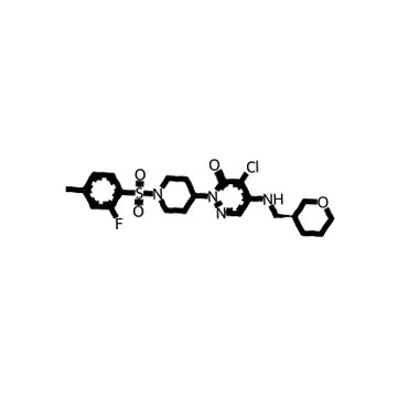 Cc1ccc(S(=O)(=O)N2CCC(n3ncc(NC[C@@H]4CCCOC4)c(Cl)c3=O)CC2)c(F)c1